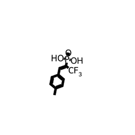 Cc1ccc(/C=C(\C(F)(F)F)P(=O)(O)O)cc1